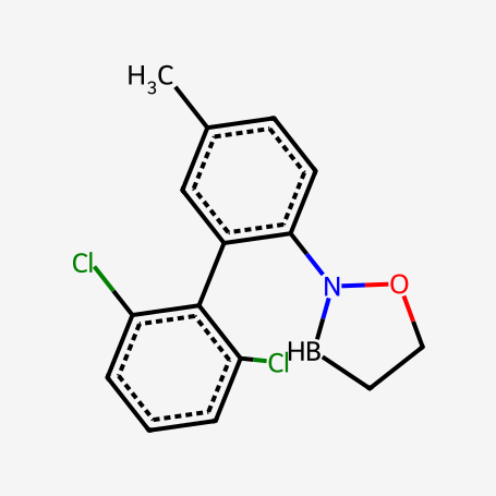 Cc1ccc(N2BCCO2)c(-c2c(Cl)cccc2Cl)c1